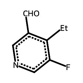 CCc1c(F)cncc1C=O